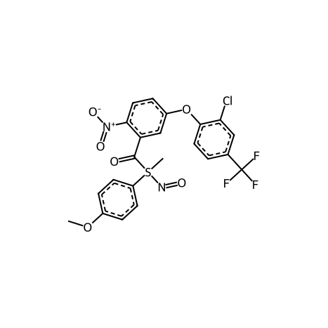 COc1ccc(S(C)(N=O)C(=O)c2cc(Oc3ccc(C(F)(F)F)cc3Cl)ccc2[N+](=O)[O-])cc1